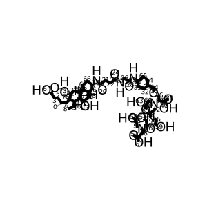 C[C@H](CCC(=O)O)[C@H]1CC[C@H]2[C@@H]3[C@H](O)C[C@@H]4C[C@@H](NC(=O)CCC(=O)NCC(=O)Nc5ccc(COCC(C(=O)O)N(CCN(CCN(CC(=O)O)CC(=O)O)CC(=O)O)CC(=O)O)cc5)CC[C@]4(C)[C@H]3C[C@H](O)[C@]12C